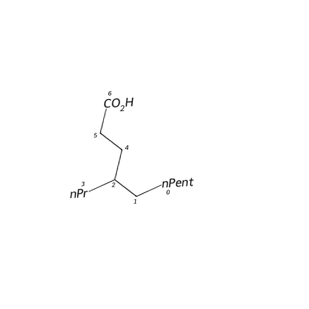 CCCCCCC(CCC)CCC(=O)O